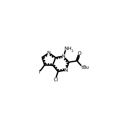 CC(C)(C)C(=O)c1nc(Cl)c2c(I)cnc-2n1N